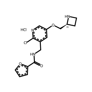 Cl.O=C(NCc1cc(OC[C@@H]2CCN2)cnc1Cl)c1ccco1